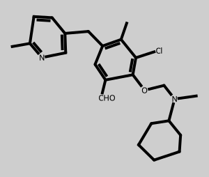 Cc1ccc(Cc2cc(C=O)c(OCN(C)C3CCCCC3)c(Cl)c2C)cn1